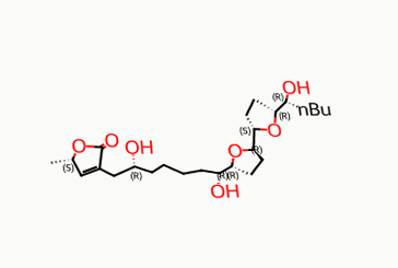 CCCC[C@@H](O)[C@H]1CC[C@@H]([C@H]2CC[C@H]([C@H](O)CCCC[C@@H](O)CC3=C[C@H](C)OC3=O)O2)O1